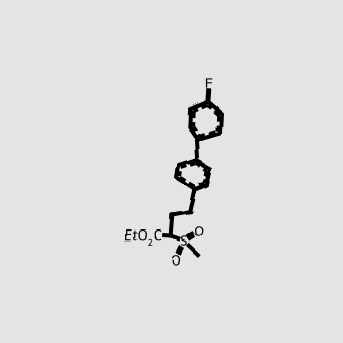 CCOC(=O)C(CCc1ccc(-c2ccc(F)cc2)cc1)S(C)(=O)=O